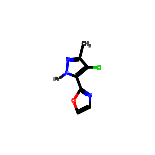 Cc1nn(C(C)C)c(-c2ncco2)c1Cl